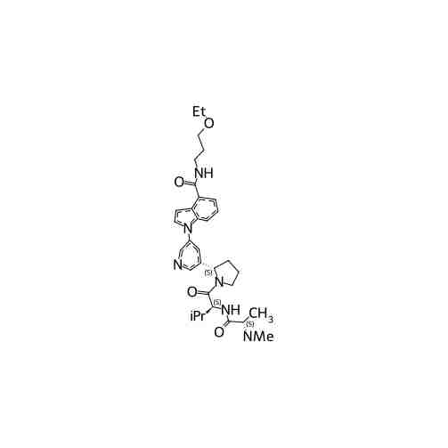 CCOCCCNC(=O)c1cccc2c1ccn2-c1cncc([C@@H]2CCCN2C(=O)[C@@H](NC(=O)[C@H](C)NC)C(C)C)c1